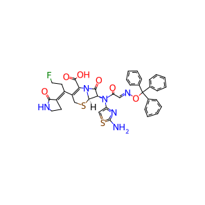 Nc1nc(N(C(=O)C=NOC(c2ccccc2)(c2ccccc2)c2ccccc2)[C@@H]2C(=O)N3C(C(=O)O)=C(C(CCF)=C4CCNC4=O)CS[C@H]23)cs1